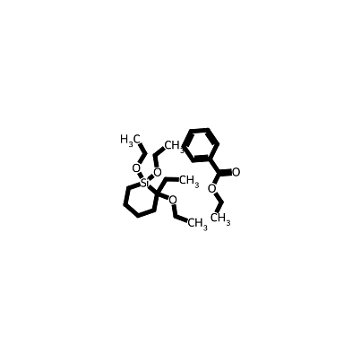 CCOC(=O)c1ccccc1.CCOC1(CC)CCCC[Si]1(OCC)OCC